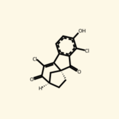 O=C1C(Cl)=C2c3ccc(O)c(Cl)c3C(=O)[C@]23CC[C@@H]1C3